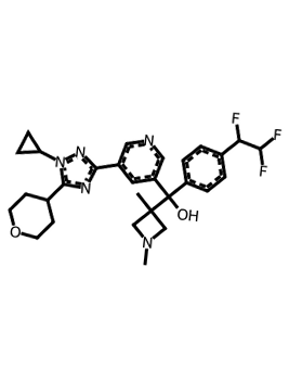 CN1CC(C)(C(O)(c2ccc(C(F)C(F)F)cc2)c2cncc(-c3nc(C4CCOCC4)n(C4CC4)n3)c2)C1